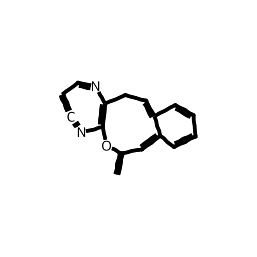 C=C1/C=c2/cccc/c2=C/CC2=C(N=C=CC=N2)O1